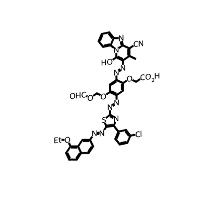 CCOc1cccc2ccc(N=Nc3sc(N=Nc4cc(OCC(=O)O)c(N=Nc5c(C)c(C#N)c6nc7ccccc7n6c5O)cc4OCOC=O)nc3-c3cccc(Cl)c3)cc12